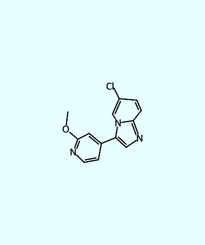 COc1cc(-c2cnc3ccc(Cl)cn23)ccn1